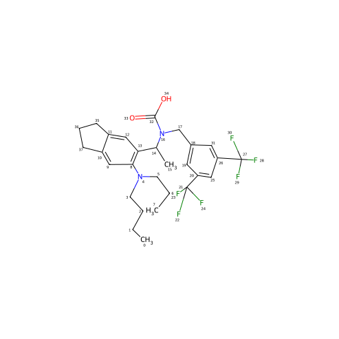 CCCCN(CCC)c1cc2c(cc1C(C)N(Cc1cc(C(F)(F)F)cc(C(F)(F)F)c1)C(=O)O)CCC2